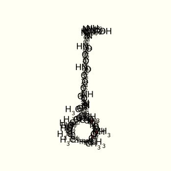 CO[C@H]1C[C@@H]2CC[C@@H](C)[C@@](O)(O2)C(=O)C(=O)N2CCCC[C@H]2C(=O)O[C@H]([C@H](C)C[C@@H]2CC[C@H](n3cc(COC(=O)NCCOCCOCCOCCC(=O)NCCOCCOCCC(=O)NCCCCn4nc(-c5cc6cc(O)ccc6[nH]5)c5c(N)ncnc54)nn3)[C@H](OC)C2)C[C@@H](OC)[C@H](C)/C=C(\C)[C@@H](O)[C@@H](O)C(=O)[C@H](C)C[C@H](C)/C=C/C=C/C=C/1C